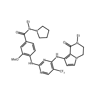 CCN1CCn2ccc(Nc3nc(Nc4ccc(C(=O)N(CC)N5CCCC5)cc4OC)ncc3C(F)(F)F)c2C1=O